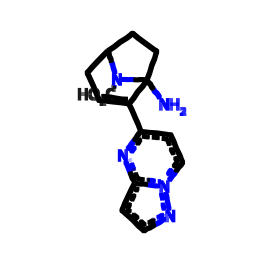 NC12CCC(CC=C1c1ccn3nccc3n1)N2C(=O)O